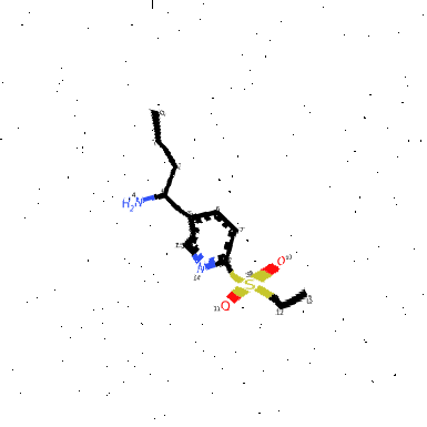 CCCC(N)c1ccc(S(=O)(=O)CC)nc1